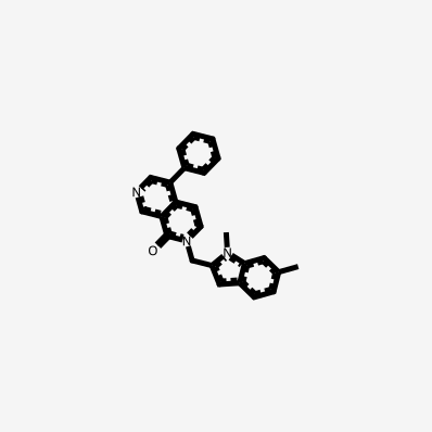 Cc1ccc2cc(Cn3ccc4c(-c5ccccc5)cncc4c3=O)n(C)c2c1